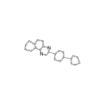 c1ccc(-c2ccc(-c3cnc4c(ccc5ccccc54)n3)cc2)cc1